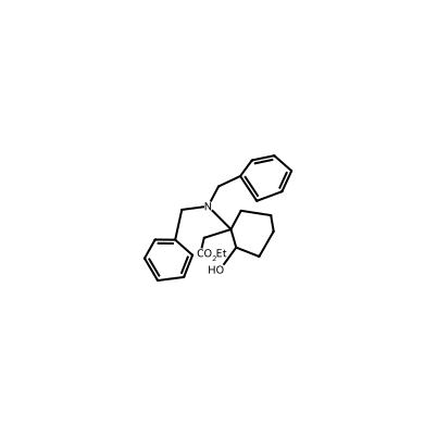 CCOC(=O)CC1(N(Cc2ccccc2)Cc2ccccc2)CCCCC1O